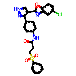 O=C(CCS(=O)(=O)c1ccccc1)Nc1ccc(-c2n[nH]cc2-c2nc3cc(Cl)ccc3o2)cc1